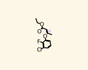 CCOC(=O)/C=C(/C)Oc1cccc(Cl)c1F